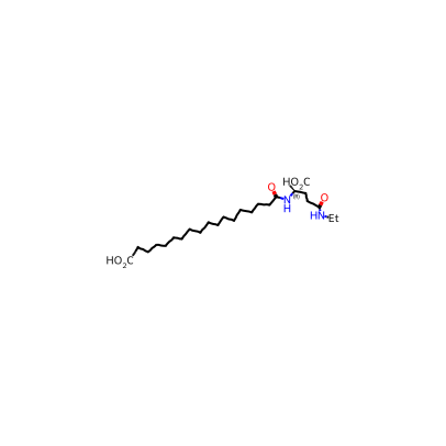 CCNC(=O)CC[C@@H](NC(=O)CCCCCCCCCCCCCCCCC(=O)O)C(=O)O